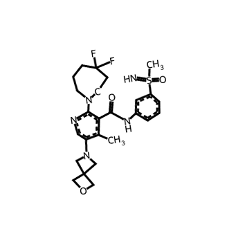 Cc1c(N2CC3(COC3)C2)cnc(N2CCCC(F)(F)CC2)c1C(=O)Nc1cccc(S(C)(=N)=O)c1